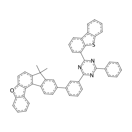 CC1(C)c2cc(-c3cccc(-c4nc(-c5ccccc5)nc(-c5cccc6c5sc5ccccc56)n4)c3)ccc2-c2c1ccc1oc3ccccc3c21